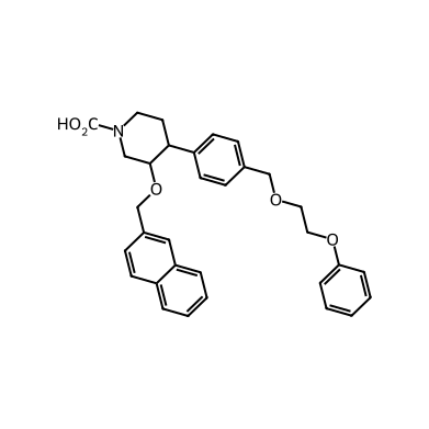 O=C(O)N1CCC(c2ccc(COCCOc3ccccc3)cc2)C(OCc2ccc3ccccc3c2)C1